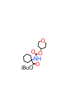 CC(C)COC(=O)C1(NC(=O)OC2CCOCC2)CCCCC1